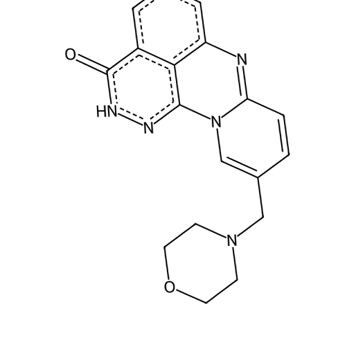 O=c1[nH]nc2c3c(cccc13)N=C1C=CC(CN3CCOCC3)=CN12